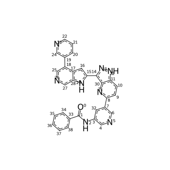 O=C(Nc1cncc(-c2ccc3[nH]nc(-c4cc5c(-c6cccnc6)cncc5[nH]4)c3n2)c1)c1ccccc1